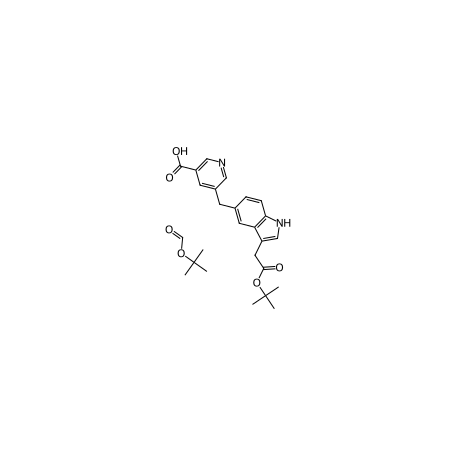 CC(C)(C)OC(=O)Cc1c[nH]c2ccc(Cc3cncc(C(=O)O)c3)cc12.CC(C)(C)OC=O